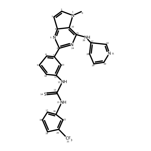 Cn1ccc2nc(-c3cccc(NC(=S)Nc4cccc(C(F)(F)F)c4)c3)nc(Nc3cccnc3)c21